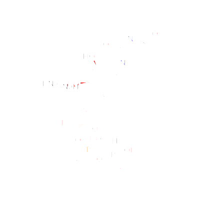 O=c1ccn([C@@H]2O[C@H](COP(=O)(O)OP(=O)(O)OP(=O)(O)O)[C@@H](O)[C@H]2O)c(=O)[nH]1.[NaH].[NaH]